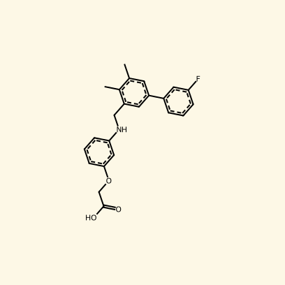 Cc1cc(-c2cccc(F)c2)cc(CNc2cccc(OCC(=O)O)c2)c1C